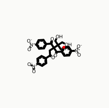 O=C(CC(C(=O)c1ccc([N+](=O)[O-])cc1)(C(=O)c1ccc([N+](=O)[O-])cc1)C(CO)(CO)CO)c1ccc([N+](=O)[O-])cc1